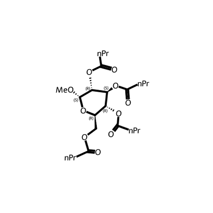 CCCC(=O)OC[C@H]1O[C@H](OC)[C@H](OC(=O)CCC)[C@@H](OC(=O)CCC)[C@@H]1OC(=O)CCC